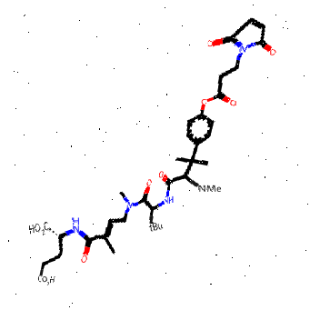 CNC(C(=O)NC(C(=O)N(C)C/C=C(\C)C(=O)N[C@H](CCC(=O)O)C(=O)O)C(C)(C)C)C(C)(C)c1ccc(OC(=O)CCN2C(=O)C=CC2=O)cc1